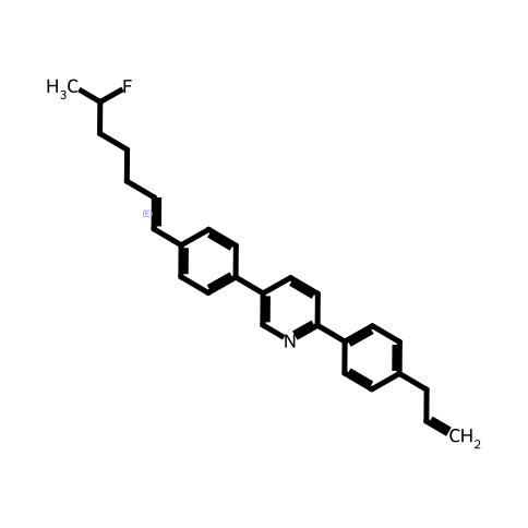 C=CCc1ccc(-c2ccc(-c3ccc(/C=C/CCCC(C)F)cc3)cn2)cc1